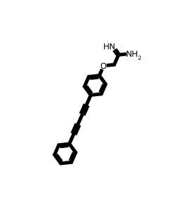 N=C(N)COc1ccc(C#CC#Cc2ccccc2)cc1